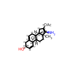 CC(=O)OC1=C(N)[C@@]2(C)CC[C@H]3[C@@H](CC=C4C[C@@H](O)C=C[C@@]43C)[C@@H]2C1